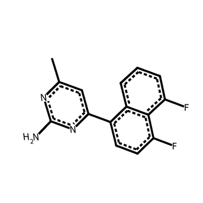 Cc1cc(-c2ccc(F)c3c(F)cccc23)nc(N)n1